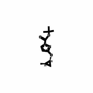 C[C@@H]1C[C@H]1Oc1ccn(C(=O)OC(C)(C)C)n1